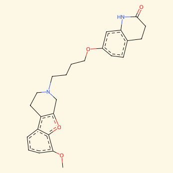 COc1cccc2c3c(oc12)CN(CCCCOc1ccc2c(c1)NC(=O)CC2)CC3